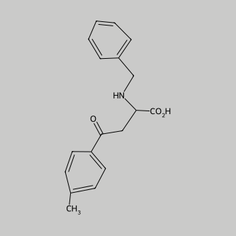 Cc1ccc(C(=O)CC(NCc2ccccc2)C(=O)O)cc1